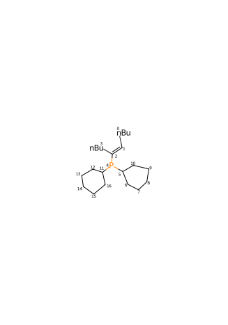 CCCCC=C(CCCC)P(C1CCCCC1)C1CCCCC1